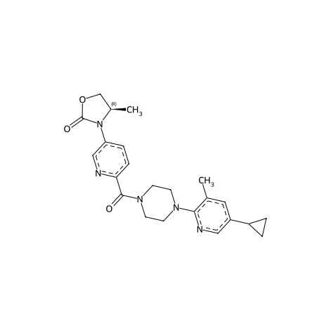 Cc1cc(C2CC2)cnc1N1CCN(C(=O)c2ccc(N3C(=O)OC[C@H]3C)cn2)CC1